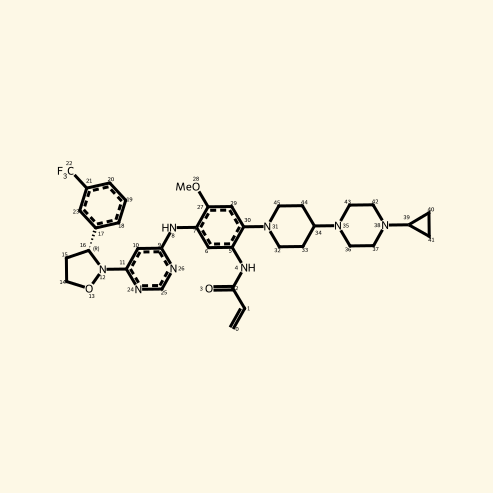 C=CC(=O)Nc1cc(Nc2cc(N3OCC[C@@H]3c3cccc(C(F)(F)F)c3)ncn2)c(OC)cc1N1CCC(N2CCN(C3CC3)CC2)CC1